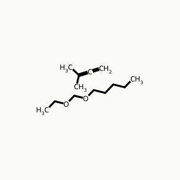 C=C=C(C)C.CCCCCOCOCC